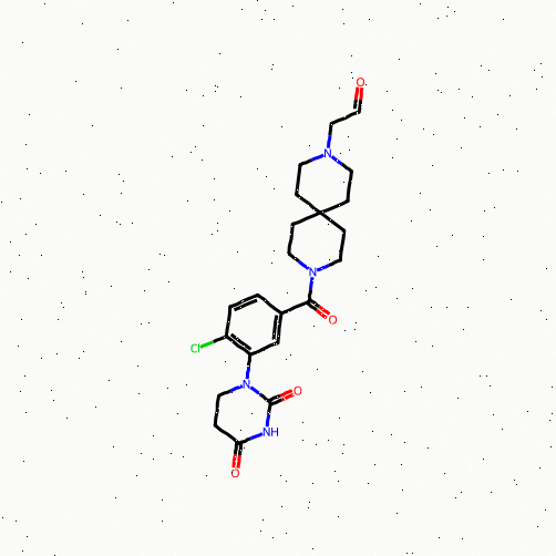 O=CCN1CCC2(CC1)CCN(C(=O)c1ccc(Cl)c(N3CCC(=O)NC3=O)c1)CC2